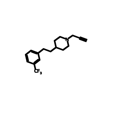 C#CCN1CCC(CCc2cccc(C(F)(F)F)c2)CC1